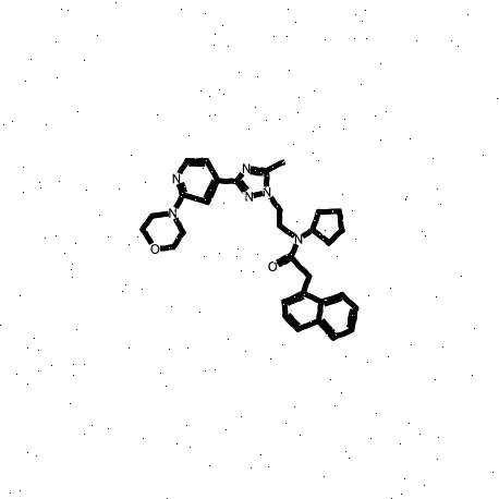 Cc1nc(-c2ccnc(N3CCOCC3)c2)nn1CCN(C(=O)Cc1cccc2ccccc12)C1CCCC1